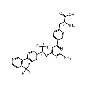 Nc1nc(O[C@@H](c2ccc(-c3cnccc3C(F)(F)F)cc2)C(F)(F)F)cc(-c2ccc(C[C@H](N)C(=O)O)cc2)n1